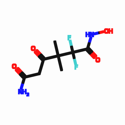 CC(C)(C(=O)CC(N)=O)C(F)(F)C(=O)NO